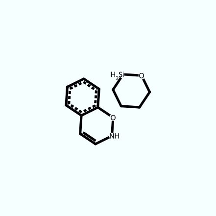 C1=Cc2ccccc2ON1.C1CC[SiH2]OC1